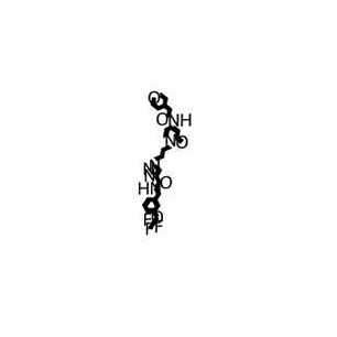 O=C(CC1CCOCC1)Nc1ccn(CCCCn2cc(C(=O)NCc3cccc(OC(F)(F)F)c3)nn2)c(=O)c1